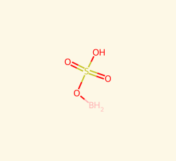 BOS(=O)(=O)O